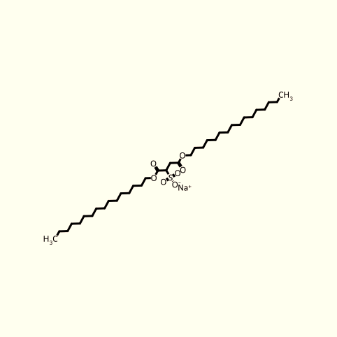 CCCCCCCCCCCCCCCCOC(=O)CC(C(=O)OCCCCCCCCCCCCCCCC)S(=O)(=O)[O-].[Na+]